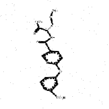 COC(=O)[C@H](COC(C)(C)C)NC(=O)c1ccc(Oc2cccc(C(=O)O)c2)nc1